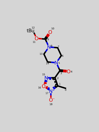 Cc1c(C(=O)N2CCN(C(=O)OC(C)(C)C)CC2)no[n+]1[O-]